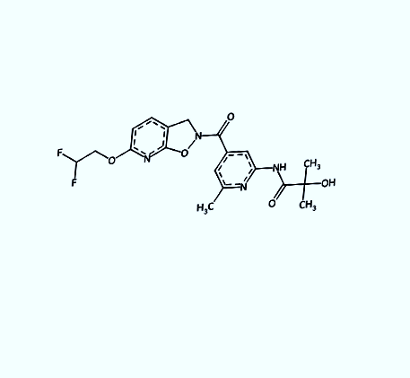 Cc1cc(C(=O)N2Cc3ccc(OCC(F)F)nc3O2)cc(NC(=O)C(C)(C)O)n1